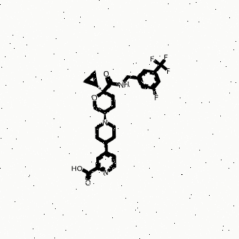 O=C(O)c1cc(C2CCN([C@@H]3CC[C@@](C(=O)NCc4cc(F)cc(C(F)(F)F)c4)(C4CC4)OC3)CC2)ccn1